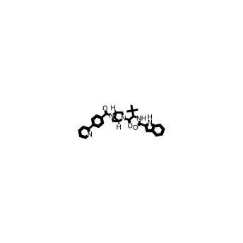 CC(C)(C)C(NC(=O)c1cc2ccccc2[nH]1)C(=O)N1C[C@@H]2C[C@H]1CN2C(=O)c1ccc(-c2ccccn2)cc1